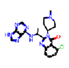 CC(Nc1ncnc2[nH]cnc12)c1nc2cccc(Cl)c2c(=O)n1C1CCN(C)CC1